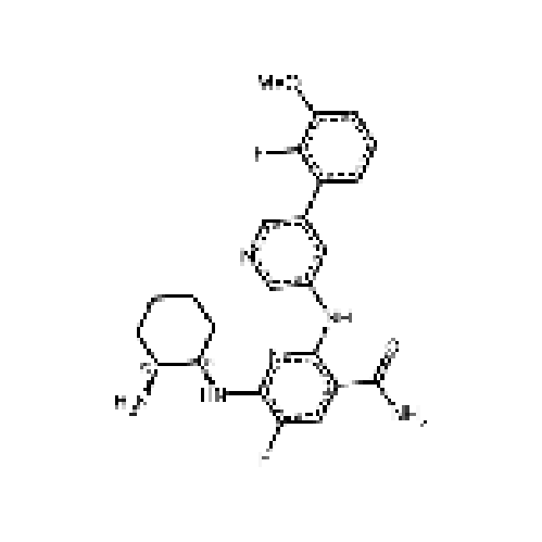 COc1cccc(-c2cncc(Nc3nc(N[C@@H]4CCCC[C@@H]4N)c(F)cc3C(N)=O)c2)c1F